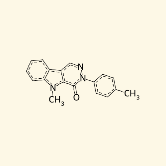 Cc1ccc(-n2ncc3c4ccccc4n(C)c3c2=O)cc1